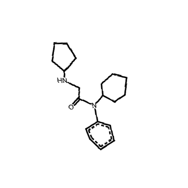 O=C(CNC1CCCC1)N(c1ccccc1)C1CCCCC1